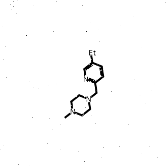 CCc1ccc(CN2CCN(C)CC2)nc1